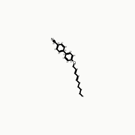 CCCCC/C=C/C=C/COc1ccc(-c2ccc(C#N)cc2)cc1